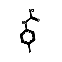 O=NC(=O)Nc1ccc(F)cc1